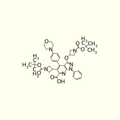 CC(C)(C)OC(=O)N1CC(Oc2nn(-c3ccccc3)c3nc(C(=O)O)c(C4CN(C(=O)OC(C)(C)C)C4)c(-c4ccc(N5CCOCC5)cc4)c23)C1